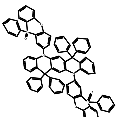 O=P1(c2ccccc2)c2ccccc2Oc2ccc(N3c4ccccc4C(c4ccccc4)(c4ccccc4)c4cc5c(cc43)C(c3ccccc3)(c3ccccc3)c3ccccc3N5c3ccc4c(c3)P(=O)(c3ccccc3)c3ccccc3O4)cc21